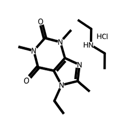 CCNCC.CCn1c(C)nc2c1c(=O)n(C)c(=O)n2C.Cl